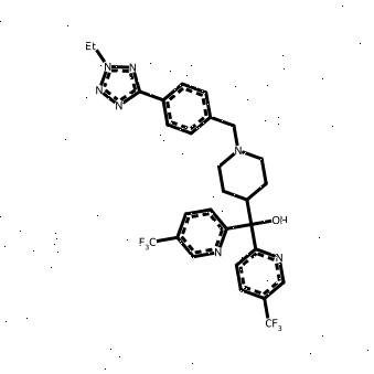 CCn1nnc(-c2ccc(CN3CCC(C(O)(c4ccc(C(F)(F)F)cn4)c4ccc(C(F)(F)F)cn4)CC3)cc2)n1